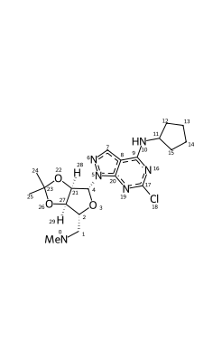 CNC[C@H]1O[C@@H](n2ncc3c(NC4CCCC4)nc(Cl)nc32)[C@@H]2OC(C)(C)O[C@@H]21